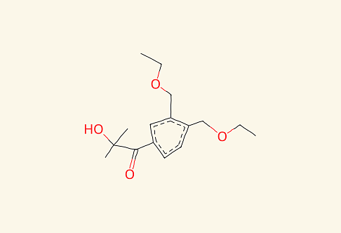 CCOCc1ccc(C(=O)C(C)(C)O)cc1COCC